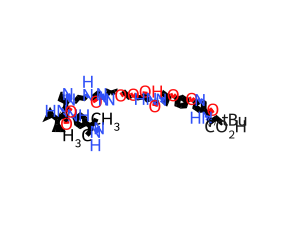 Cc1n[nH]c(C)c1-c1ccc(NC(=O)[C@@H](NC(=O)c2ccnn2CCCNC(=O)Cn2cc(COCCOCC(O)CNC(=O)N3CC(Oc4cccc(Oc5ccc(C(=O)N[C@@H](CCC(C)(C)C)C(=O)O)cn5)c4)C3)nn2)C(C2CC2)C2CC2)cc1